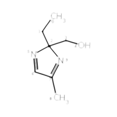 CCC1(CO)N=CC(C)=N1